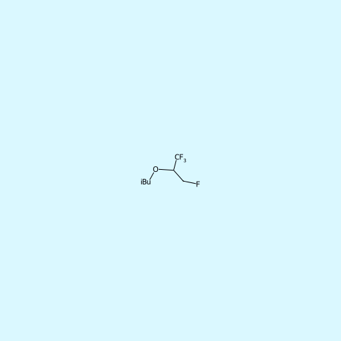 CCC(C)OC(CF)C(F)(F)F